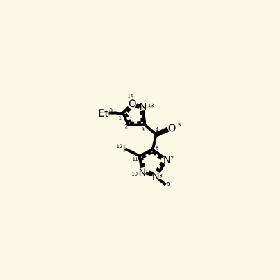 CCc1cc(C(=O)c2nn(C)nc2I)no1